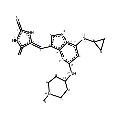 C=c1[nH]c(=O)[nH]/c1=C\c1cnn2c(NC3CC3)cc(NC3CCN(C)CC3)nc12